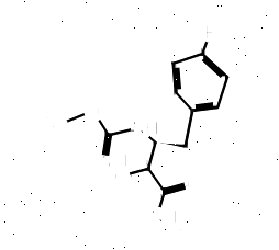 CC(C)(C)OC(=O)N[C@@H](Cc1ccc(F)cc1)C(O)C(N)=O